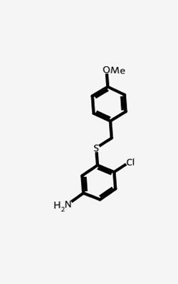 COc1ccc(CSc2cc(N)ccc2Cl)cc1